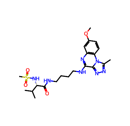 COc1ccc2c(c1)nc(NCCCCNC(=O)[C@@H](NS(C)(=O)=O)C(C)C)c1nnc(C)n12